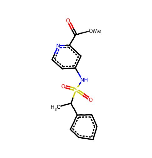 COC(=O)c1cc(NS(=O)(=O)C(C)c2ccccc2)ccn1